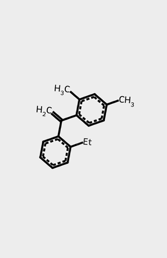 C=C(c1ccc(C)cc1C)c1ccccc1CC